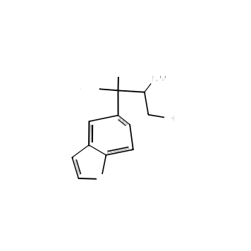 CNC(CO)C(O)(c1ccc2occc2c1)C(Cl)(Cl)Cl